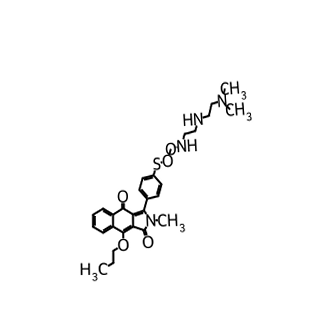 CCCOC1=C2C(=O)N(C)C(c3ccc(SOONCCNCCN(C)C)cc3)=C2C(=O)c2ccccc21